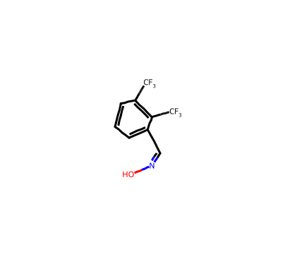 O/N=C\c1cccc(C(F)(F)F)c1C(F)(F)F